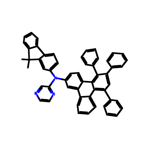 CC1(C)c2ccccc2-c2ccc(N(c3ccc4c(c3)c3ccccc3c3c(-c5ccccc5)cc(-c5ccccc5)c(-c5ccccc5)c43)c3cnccn3)cc21